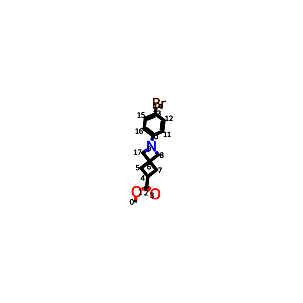 COC(=O)C1CC2(C1)CN(c1ccc(Br)cc1)C2